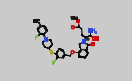 CC(C)(C)OC(=O)CC[C@@H](C(N)O)N1Cc2c(OCc3ccc(SC4CCN(c5ccc(C#N)cc5F)CC4)c(F)c3)cccc2C1=O